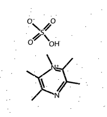 Cc1nc(C)c(C)[n+](C)c1C.O=S(=O)([O-])O